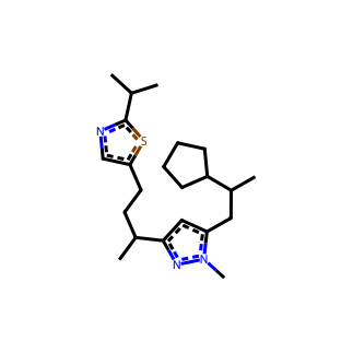 CC(C)c1ncc(CCC(C)c2cc(CC(C)C3CCCC3)n(C)n2)s1